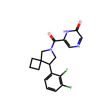 O=C(c1cncc(=O)[nH]1)N1CC(c2cccc(F)c2F)C2(CCC2)C1